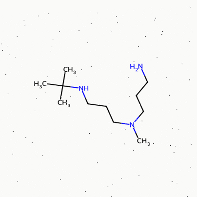 CN(CCCN)CCCNC(C)(C)C